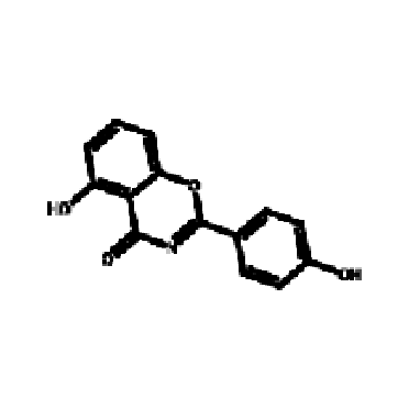 O=c1nc(-c2ccc(O)cc2)oc2cccc(O)c12